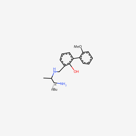 CCCC[C@@H](N)C(C)NCc1cccc(-c2ccccc2OC)c1O